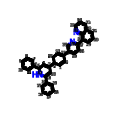 C1=CC(C2=CC(c3ccccc3)NC(c3ccccc3)=C2)CC=C1c1ccc(-c2cccc3cccnc23)nc1